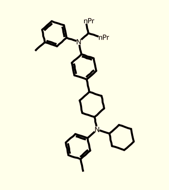 CCCC(CCC)N(c1ccc(C2CCC(N(c3cccc(C)c3)C3CCCCC3)CC2)cc1)c1cccc(C)c1